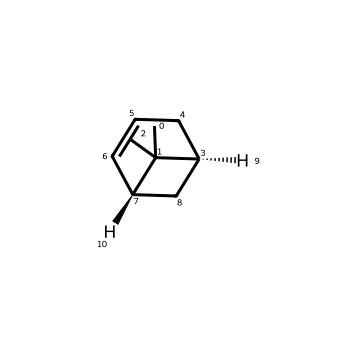 CC1(C)[C@H]2CC=C[C@H]1C2